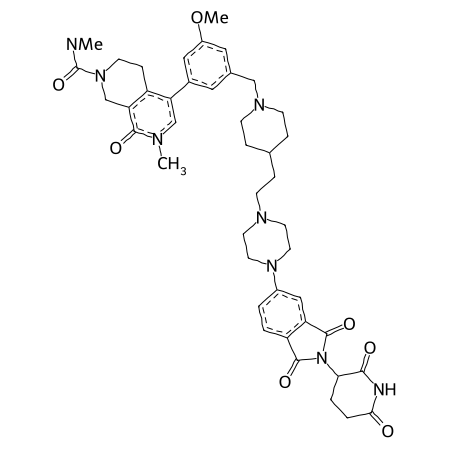 CNC(=O)N1CCc2c(-c3cc(CN4CCC(CCN5CCN(c6ccc7c(c6)C(=O)N(C6CCC(=O)NC6=O)C7=O)CC5)CC4)cc(OC)c3)cn(C)c(=O)c2C1